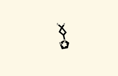 FC1(F)CC(n2c[c]cn2)C1